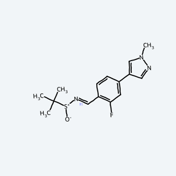 Cn1cc(-c2ccc(/C=N/[S+]([O-])C(C)(C)C)c(F)c2)cn1